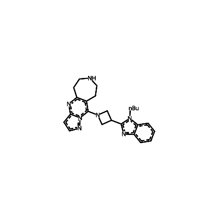 CCCCn1c(C2CN(c3c4c(nc5ccnn35)CCNCC4)C2)nc2ccccc21